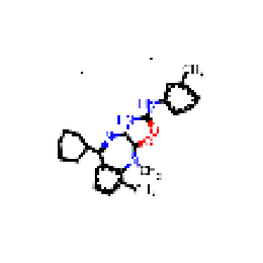 Cc1cccc(NC(=O)N[C@@H]2N=C(C3CCCCC3)c3cccc(C)c3N(C)C2=O)c1